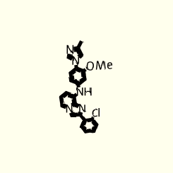 COc1cc(Nc2cccn3cc(-c4ccccc4Cl)nc23)ccc1-n1cnc(C)c1